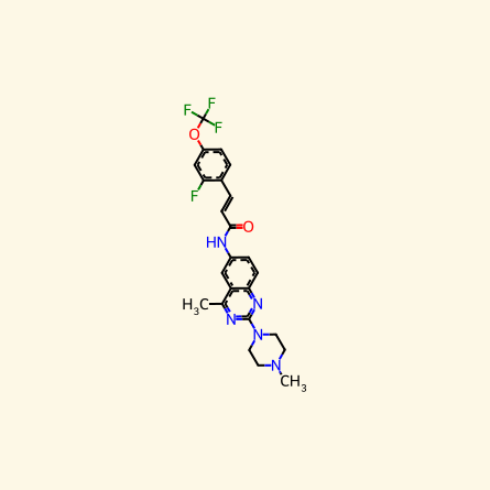 Cc1nc(N2CCN(C)CC2)nc2ccc(NC(=O)/C=C/c3ccc(OC(F)(F)F)cc3F)cc12